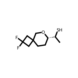 CC(S)[C@@H]1CCC2(CO1)CC(F)(F)C2